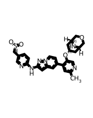 Cc1cc(-c2ccn3nc(Nc4ccc(C[SH](=O)=O)cn4)cc3c2)c(O[C@H]2C[C@H]3COC[C@@H](C2)N3)cn1